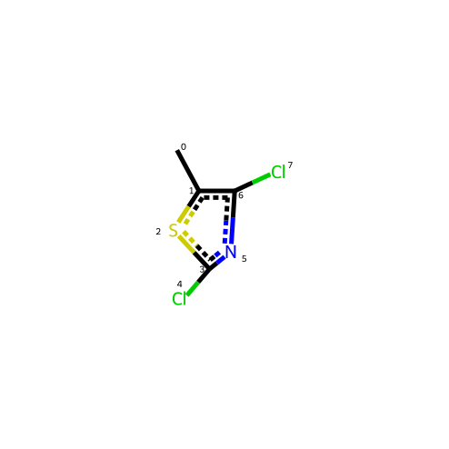 Cc1sc(Cl)nc1Cl